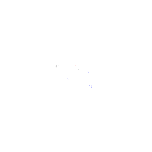 CC(C)c1nc2cncnc2o1